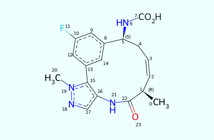 C[C@@H]1C=CC[C@H](NC(=O)O)c2cc(F)cc(c2)-c2c(cnn2C)NC1=O